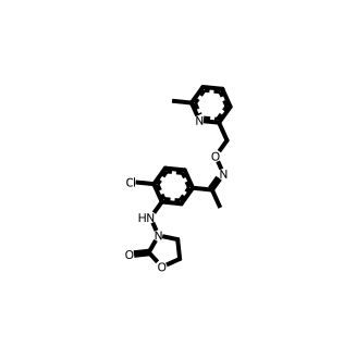 CC(=NOCc1cccc(C)n1)c1ccc(Cl)c(NN2CCOC2=O)c1